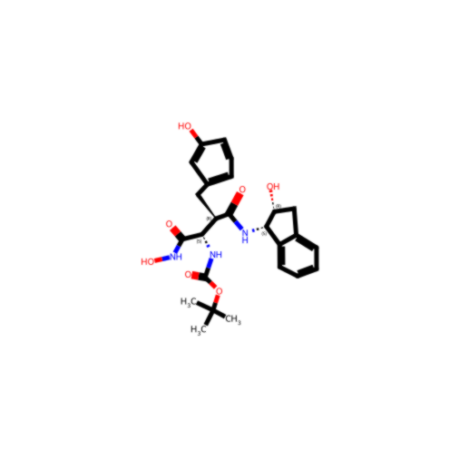 CC(C)(C)OC(=O)N[C@H](C(=O)NO)[C@@H](Cc1cccc(O)c1)C(=O)N[C@H]1c2ccccc2C[C@H]1O